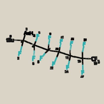 CC(C)(C)C(F)([AsH2])C(F)(F)C(F)(F)C(F)(F)C(F)(F)C(F)(F)C(F)(F)F